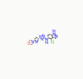 Cn1nc(-c2ccc(N3CCOCC3)nc2)nc1Nc1ccc2[nH]ncc2c1Cl